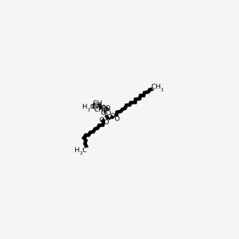 CCCC/C=C\CCCCCCCC(=O)O[C@H](COC(=O)CCCCCCCCCCCCCCCCC)COP(=O)([O-])OCC[N+](C)(C)C